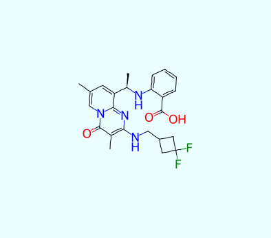 Cc1cc([C@@H](C)Nc2ccccc2C(=O)O)c2nc(NCC3CC(F)(F)C3)c(C)c(=O)n2c1